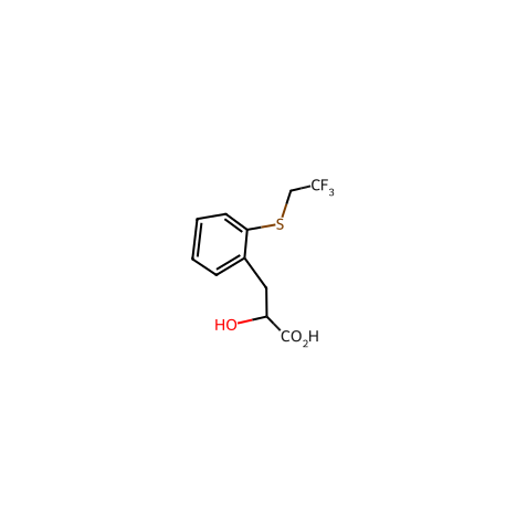 O=C(O)C(O)Cc1ccccc1SCC(F)(F)F